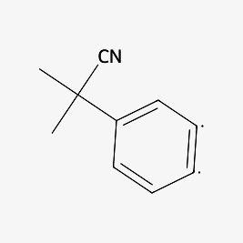 CC(C)(C#N)c1c[c][c]cc1